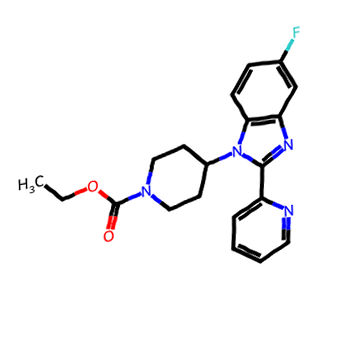 CCOC(=O)N1CCC(n2c(-c3ccccn3)nc3cc(F)ccc32)CC1